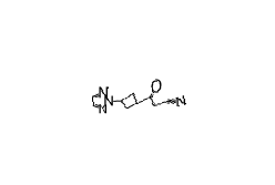 N#CCC(=O)C1CC(n2nccn2)C1